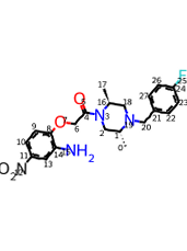 C[C@@H]1CN(C(=O)COc2ccc([N+](=O)[O-])cc2N)[C@@H](C)CN1Cc1ccc(F)cc1